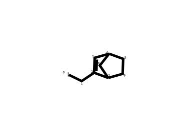 ICC1=CC2CCC1C2